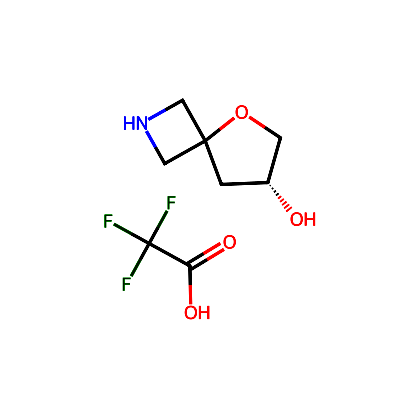 O=C(O)C(F)(F)F.O[C@H]1COC2(CNC2)C1